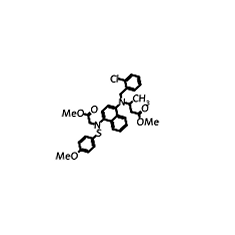 COC(=O)CC(C)N(Cc1ccccc1Cl)c1ccc(N(CC(=O)OC)Sc2ccc(OC)cc2)c2ccccc12